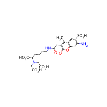 Cc1c(CC(=O)NCCCCC(C(=O)O)N(CC(=O)O)CC(=O)O)c(=O)oc2cc(N)c(S(=O)(=O)O)cc12